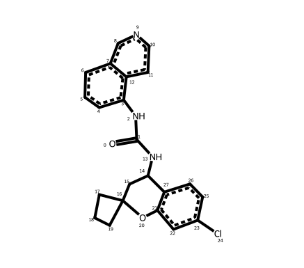 O=C(Nc1cccc2cnccc12)NC1CC2(CCC2)Oc2cc(Cl)ccc21